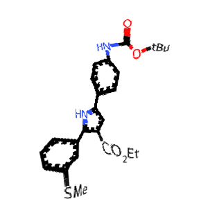 CCOC(=O)c1cc(-c2ccc(NC(=O)OC(C)(C)C)cc2)[nH]c1-c1cccc(SC)c1